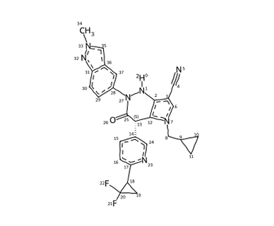 [2H]N1c2c(C#N)cn(CC3CC3)c2[C@H](c2ccc(C3CC3(F)F)nc2)C(=O)N1c1ccc2nn(C)cc2c1